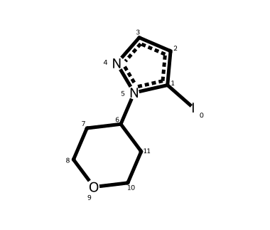 Ic1ccnn1C1CCOCC1